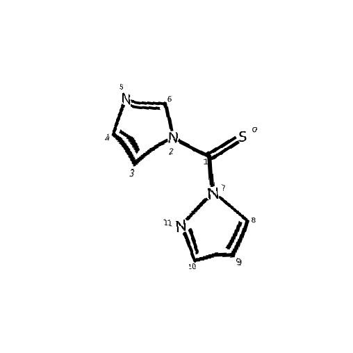 S=C(n1ccnc1)n1cccn1